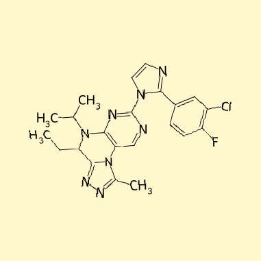 CCC1c2nnc(C)n2-c2cnc(-n3ccnc3-c3ccc(F)c(Cl)c3)nc2N1C(C)C